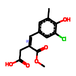 COC(=O)/C(=C\c1cc(C)c(O)c(Cl)c1)CC(=O)O